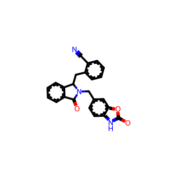 N#Cc1ccccc1CC1c2ccccc2C(=O)N1Cc1ccc2[nH]c(=O)oc2c1